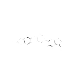 CC(=O)N1Cc2ccc(OC3CCN(c4nc5c(cc4C)C(=O)NC5)CC3)cc2C1